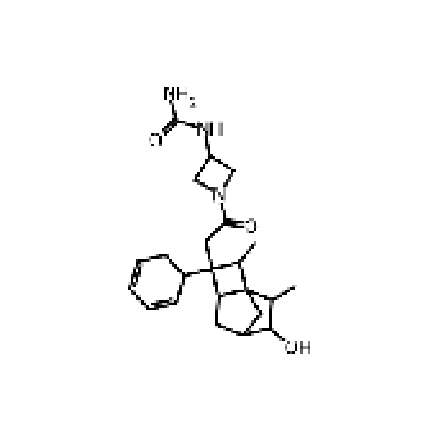 CC1C(O)C2CC3C(CC(=O)N4CC(NC(N)=O)C4)(C4C=CC=CC4)C(C)C13C2